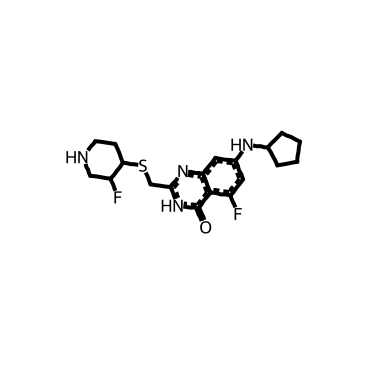 O=c1[nH]c(CSC2CCNCC2F)nc2cc(NC3CCCC3)cc(F)c12